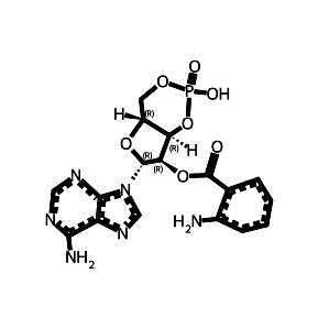 Nc1ccccc1C(=O)O[C@@H]1[C@@H]2OP(=O)(O)OC[C@H]2O[C@H]1n1cnc2c(N)ncnc21